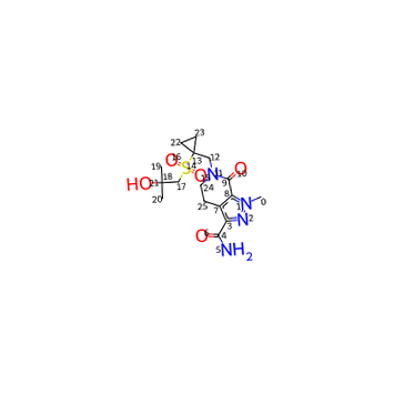 Cn1nc(C(N)=O)c2c1C(=O)N(CC1(S(=O)(=O)CC(C)(C)O)CC1)CC2